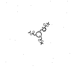 CC(C)OC(=O)CN1CCN(CC(=O)OC(C)(C)C)CCN(Cc2cccc(C(=O)OC(C)(C)C)n2)CC1